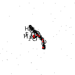 Nc1c(Cl)cc(C[C@@H](OC(=O)N2CCC(N3CCc4ccccc4NC3=O)CC2)C(=O)N2CCN(C3CCN(CCC(=O)OCCCN4CCCCC4)CC3)CC2)cc1C(F)(F)F